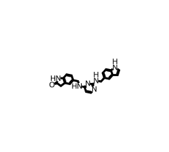 O=C1Cc2cc(CNc3ccnc(NCc4ccc5[nH]ccc5c4)n3)ccc2N1